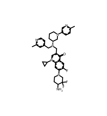 Cc1ccc(N2CCC[C@H](N(Cc3ccnc(C)c3)Cc3cn(C4CC4)c4cc(N5CCC(N)C(F)(F)C5)c(F)cc4c3=O)C2)cn1